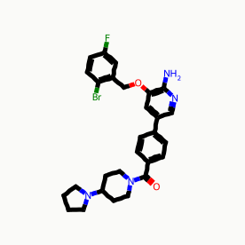 Nc1ncc(-c2ccc(C(=O)N3CCC(N4CCCC4)CC3)cc2)cc1OCc1cc(F)ccc1Br